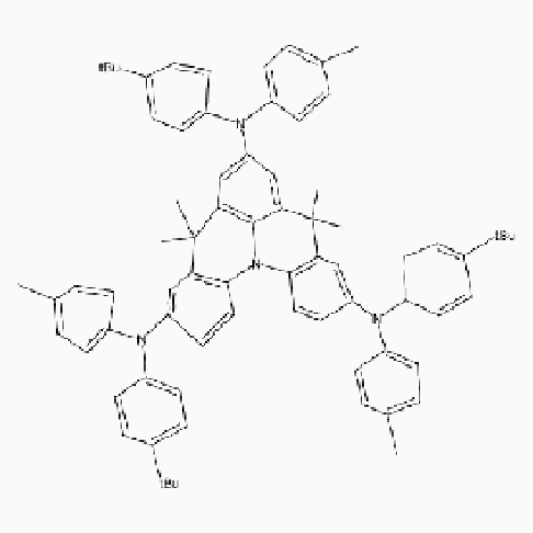 Cc1ccc(N(c2ccc(C(C)(C)C)cc2)c2ccc3c(c2)C(C)(C)c2cc(N(c4ccc(C)cc4)c4ccc(C(C)(C)C)cc4)cc4c2N3c2ccc(N(c3ccc(C)cc3)C3C=CC(C(C)(C)C)=CC3)cc2C4(C)C)cc1